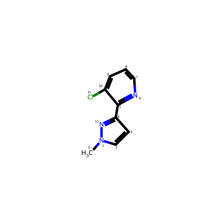 Cn1ccc(-c2ncccc2Cl)n1